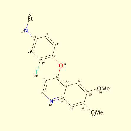 CC[N]c1ccc(Oc2ccnc3cc(OC)c(OC)cc23)c(F)c1